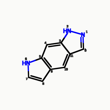 [c]1n[nH]c2cc3[nH]ccc3cc12